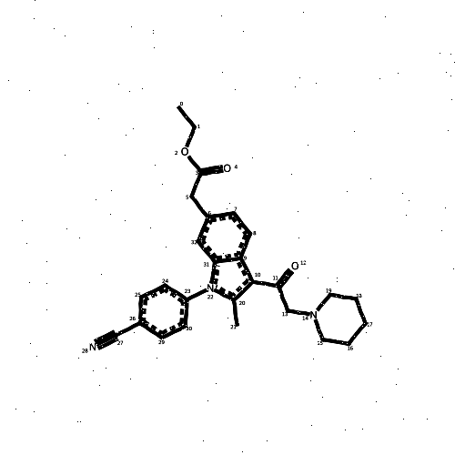 CCOC(=O)Cc1ccc2c(C(=O)CN3CCCCC3)c(C)n(-c3ccc(C#N)cc3)c2c1